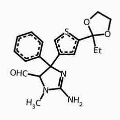 CCC1(c2cc(C3(c4ccccc4)N=C(N)N(C)C3C=O)cs2)OCCO1